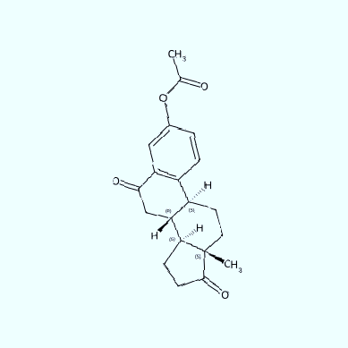 CC(=O)Oc1ccc2c(c1)C(=O)C[C@@H]1[C@@H]2CC[C@]2(C)C(=O)CC[C@@H]12